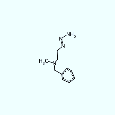 CN(CCN=NN)Cc1ccccc1